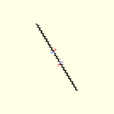 CCCCCC=CCC=CCC=CCC=CCCCC(=O)NCCCCCCNC(=O)CCCC=CCC=CCC=CCC=CCCCCC